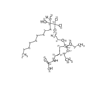 CCCCCCCCCC(C)(O)C(Cl)(Cl)Cl.CCO[Si](CCCNC(=O)O)(OCC)OCC